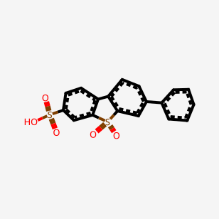 O=S(=O)(O)c1ccc2c(c1)S(=O)(=O)c1cc(-c3ccccc3)ccc1-2